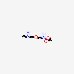 CCCNCCCOCCCNC(=O)OC(C)(C)C